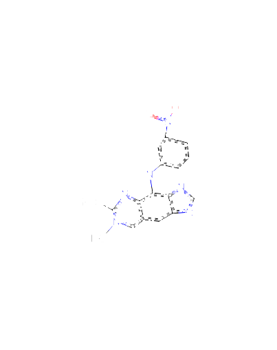 Cc1nc2c(Nc3cccc([N+](=O)[O-])c3)c3ncnc3cc2cn1C